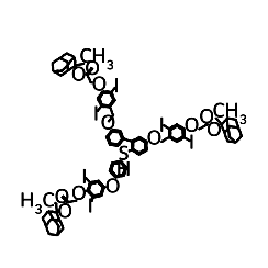 CCC1(OC(=O)COc2cc(I)c(COc3ccc4c(c3)-c3cc(OCc5cc(I)c(OCC(=O)OC6(CC)C7CC8CC(C7)CC6C8)cc5I)ccc3[SH]4c3ccc(Oc4cc(I)c(OCC(=O)OC5(CC)C6CC7CC(C6)CC5C7)c(I)c4)cc3)cc2I)C2CC3CC(C2)CC1C3